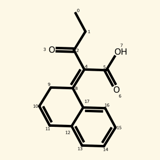 CCC(=O)C(C(=O)O)=C1CC=Cc2ccccc21